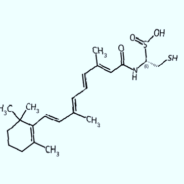 CC(C=CC1=C(C)CCCC1(C)C)=CC=CC(C)=CC(=O)N[C@@H](CS)S(=O)O